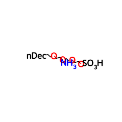 CCCCCCCCCCCCOCCOCCOCCOS(=O)(=O)O.N